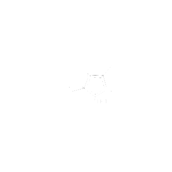 Cc1nc(S(=O)(=O)O)cs1.Cl